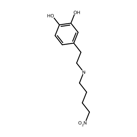 O=[N+]([O-])CCCC[N]CCc1ccc(O)c(O)c1